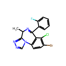 CC1N=C(c2ccccc2F)c2c(ccc(Br)c2Cl)-n2cnnc21